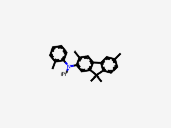 Cc1ccc2c(c1)-c1cc(C)c(N(c3ccccc3C)C(C)C)cc1C2(C)C